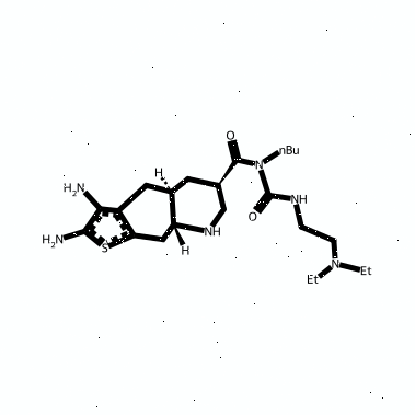 CCCCN(C(=O)NCCN(CC)CC)C(=O)[C@H]1CN[C@@H]2Cc3sc(N)c(N)c3C[C@H]2C1